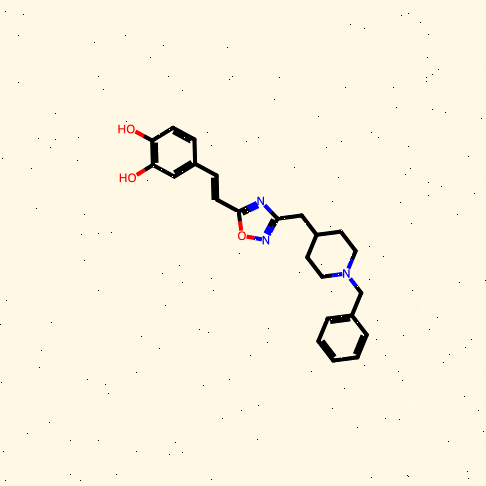 Oc1ccc(C=Cc2nc(CC3CCN(Cc4ccccc4)CC3)no2)cc1O